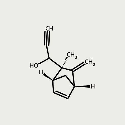 C#CC(O)[C@@]1(C)C(=C)[C@@H]2C=C[C@H]1C2